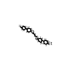 CCC1CCC(C2CCC(OCCCCOC3CCC(C4CCC(C)CC4)CC3)CC2)CC1